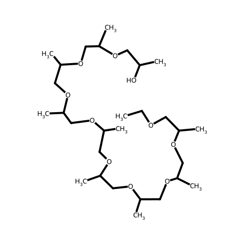 CCOCC(C)OCC(C)OCC(C)OCC(C)OCC(C)OCC(C)OCC(C)OCC(C)OCC(C)O